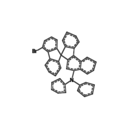 Brc1cccc2c1-c1ccccc1C21c2ccccc2-c2c1cc(N(c1ccccc1)c1ccccc1)c1ccccc21